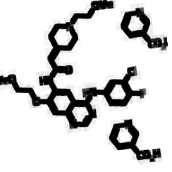 COCCOc1cc2ncnc(Nc3ccc(F)c(Cl)c3)c2cc1NC(=O)C=C1CCN(CCOC)CC1.O=C(O)c1cccnc1.O=C(O)c1cccnc1